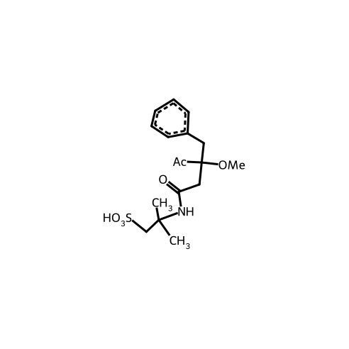 COC(CC(=O)NC(C)(C)CS(=O)(=O)O)(Cc1ccccc1)C(C)=O